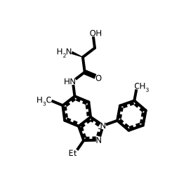 CCc1nn(-c2cccc(C)c2)c2cc(NC(=O)[C@@H](N)CO)c(C)cc12